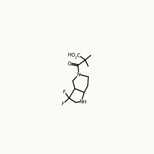 CC(C)(C(=O)O)C(=O)N1CCC2NCC(F)(F)C2C1